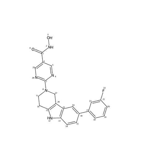 O=C(NO)c1cnc(N2CCc3[nH]c4ccc(-c5cccc(F)c5)cc4c3C2)nc1